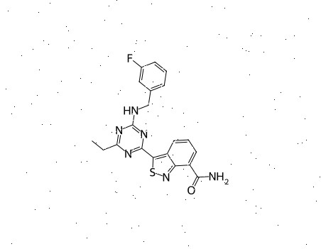 CCc1nc(NCc2cccc(F)c2)nc(-c2snc3c(C(N)=O)cccc23)n1